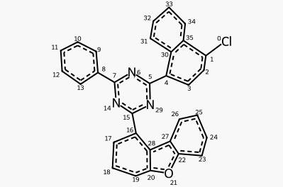 Clc1ccc(-c2nc(-c3ccccc3)nc(-c3cccc4oc5ccccc5c34)n2)c2ccccc12